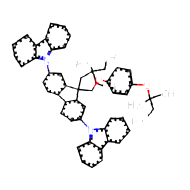 CCC(C)(CC)CC1(COc2ccc(OC(C)(C)CC)cc2)c2cc(-n3c4ccccc4c4ccccc43)ccc2-c2ccc(-n3c4ccccc4c4ccccc43)cc21